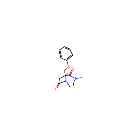 CN(C)C(=O)[C@]1(COc2ccccc2)CC(=O)N1C